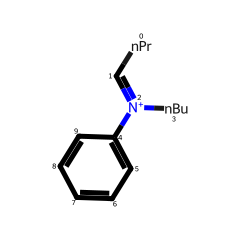 CCCC=[N+](CCCC)c1ccccc1